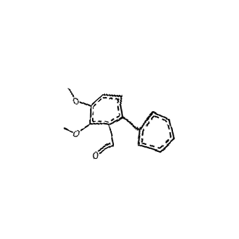 COc1ccc(-c2ccccc2)c(C=O)c1OC